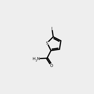 NC(=O)c1ccc(I)s1